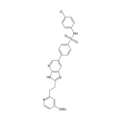 COc1ccnc(CCc2nc3cc(-c4ccc(S(=O)(=O)Nc5ccc(Cl)cc5)cc4)cnc3[nH]2)c1